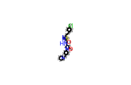 O=C(N[C@@H]1CC(=O)N(c2ccc(CN3CCCCC3)cc2)C1)c1nnc(CCc2ccc(Cl)cc2)s1